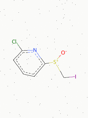 [O-][S+](CI)c1cccc(Cl)n1